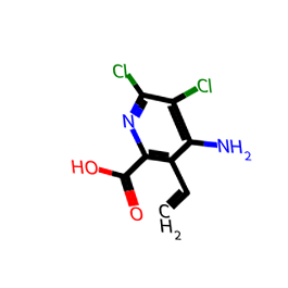 C=Cc1c(C(=O)O)nc(Cl)c(Cl)c1N